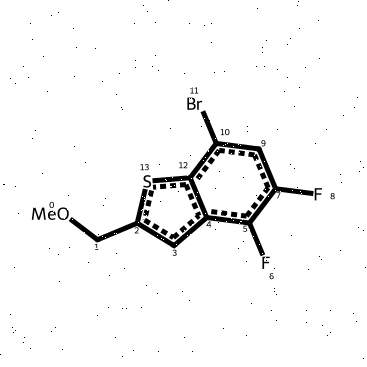 COCc1cc2c(F)c(F)cc(Br)c2s1